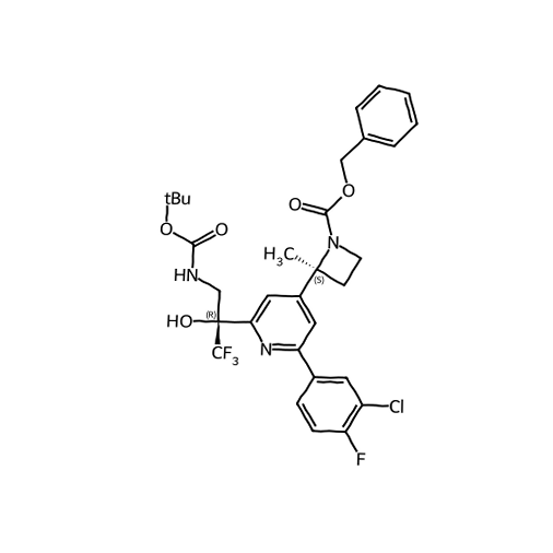 CC(C)(C)OC(=O)NC[C@@](O)(c1cc([C@]2(C)CCN2C(=O)OCc2ccccc2)cc(-c2ccc(F)c(Cl)c2)n1)C(F)(F)F